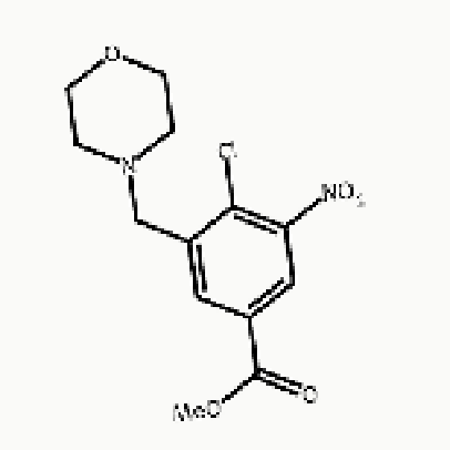 COC(=O)c1cc(CN2CCOCC2)c(Cl)c([N+](=O)[O-])c1